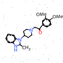 COc1ccc(C(=O)CN2CCC(N3c4ccccc4NC3C)CC2)cc1OC